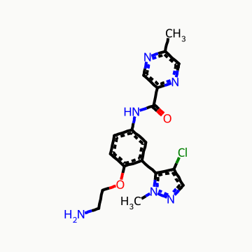 Cc1cnc(C(=O)Nc2ccc(OCCN)c(-c3c(Cl)cnn3C)c2)cn1